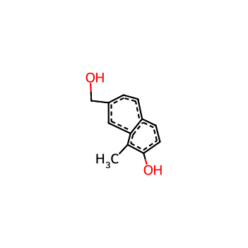 Cc1c(O)ccc2ccc(CO)cc12